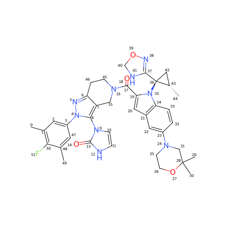 Cc1cc(-n2nc3c(c2-n2cc[nH]c2=O)CN(C(=O)c2cc4cc(N5CCOC(C)(C)C5)ccc4n2[C@@]2(C4=NOCN4)C[C@@H]2C)CC3)cc(C)c1F